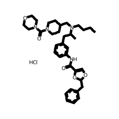 CCCCN(CC1CCN(C(=O)N2CCOCC2)CC1)C(C)Cc1cccc(NC(=O)C2=COC(Cc3ccccc3)O2)c1.Cl